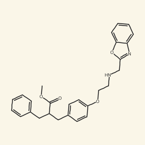 COC(=O)C(Cc1ccccc1)Cc1ccc(OCCNCc2nc3ccccc3o2)cc1